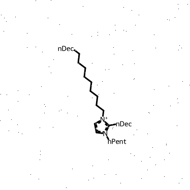 CCCCCCCCCCCCCCCCCCC[n+]1ccn(CCCCC)c1CCCCCCCCCC